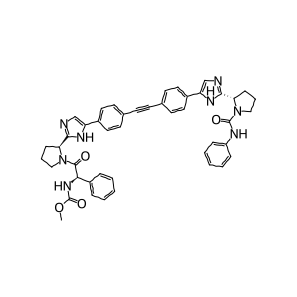 COC(=O)N[C@@H](C(=O)N1CCC[C@H]1c1ncc(-c2ccc(C#Cc3ccc(-c4cnc([C@@H]5CCCN5C(=O)Nc5ccccc5)[nH]4)cc3)cc2)[nH]1)c1ccccc1